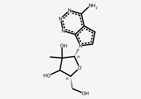 CC1(O)C(O)[C@@H](CO)O[C@H]1n1ccc2c(N)nnnc21